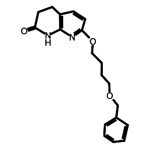 O=C1CCc2ccc(OCCCCOCc3ccccc3)nc2N1